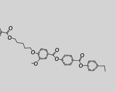 C=C(C)C(=O)OCCCCCOc1ccc(C(=O)Oc2ccc(C(=O)Oc3ccc(CC)cc3)cc2)cc1OC